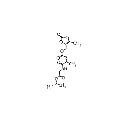 Cc1oc(=O)oc1COC(=O)SC(C)C(=O)NCC(=O)OC(C)C